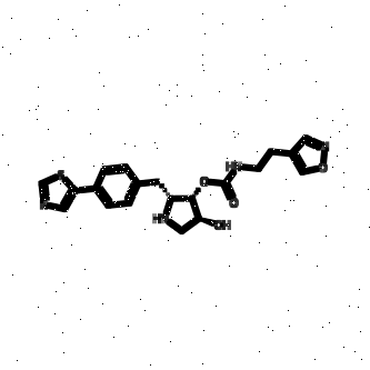 O=C(NCCc1cnoc1)O[C@@H]1[C@@H](O)CN[C@@H]1Cc1ccc(-c2cncs2)cc1